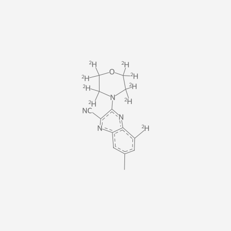 [2H]c1cc(C)cc2nc(C#N)c(N3C([2H])([2H])C([2H])([2H])OC([2H])([2H])C3([2H])[2H])nc12